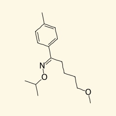 COCCCC/C(=N\OC(C)C)c1ccc(C)cc1